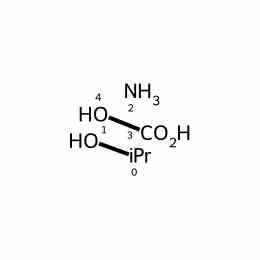 CC(C)O.N.O=C(O)O